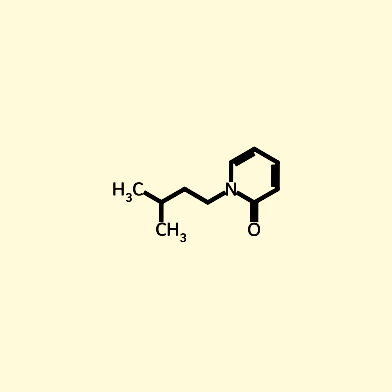 CC(C)CCn1ccccc1=O